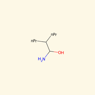 CCCC(CCC)C(N)O